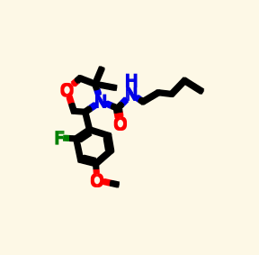 CCCCCNC(=O)N1C(c2ccc(OC)cc2F)COCC1(C)C